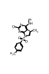 Cc1ccc(S(=O)(=O)n2cc(C)c3c(NC(C)C)nc(Cl)nc32)cc1